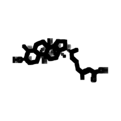 CC(=CC(=O)O)CCCC(C)[C@H]1CC[C@H]2[C@@H]3CCC4[C@H](C)[C@@H](O)CC[C@]4(C)[C@H]3CC[C@]12C